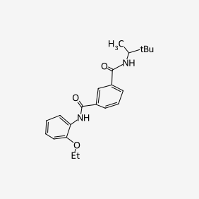 CCOc1ccccc1NC(=O)c1cccc(C(=O)NC(C)C(C)(C)C)c1